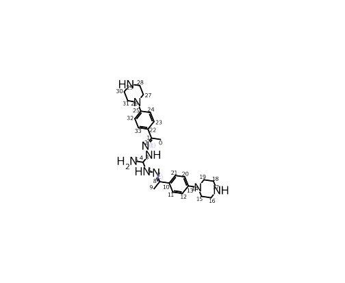 C/C(=N\NC(N)N/N=C(\C)c1ccc(N2CCNCC2)cc1)c1ccc(N2CCNCC2)cc1